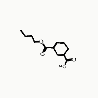 CCCCOC(=O)C1CCCC(C(=O)O)C1